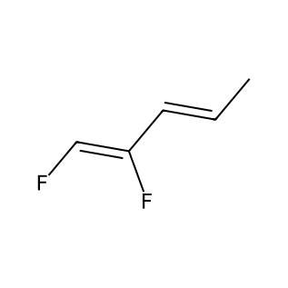 CC=CC(F)=CF